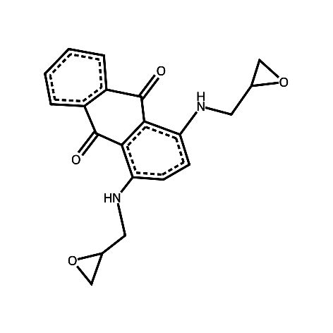 O=C1c2ccccc2C(=O)c2c(NCC3CO3)ccc(NCC3CO3)c21